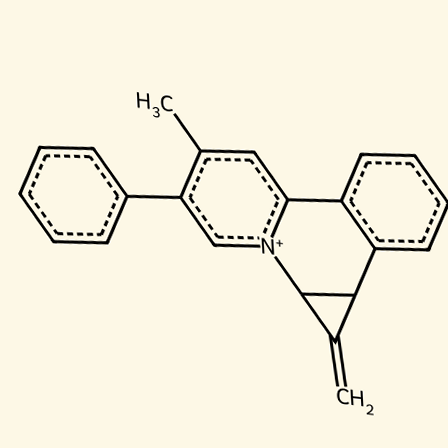 C=C1C2c3ccccc3-c3cc(C)c(-c4ccccc4)c[n+]3C12